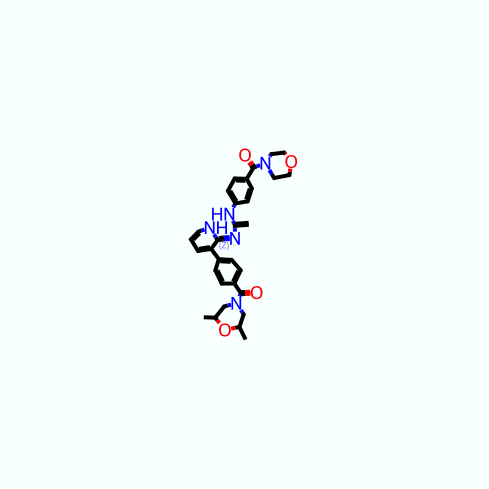 C=C(/N=c1\[nH]cccc1-c1ccc(C(=O)N2CC(C)OC(C)C2)cc1)Nc1ccc(C(=O)N2CCOCC2)cc1